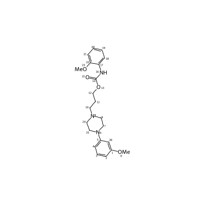 COc1cccc(N2CCN(CCCOC(=O)Nc3ccccc3OC)CC2)c1